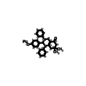 CC(C)Oc1ccc(C2N(c3ccccc3)CC3=C(CC(C)(C)CC3=O)N2c2ccccc2)cc1